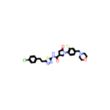 O=C(Nc1nnc(CCc2ccc(Cl)cc2)s1)C1CC(=O)N(c2ccc(CN3CCOCC3)cc2F)C1